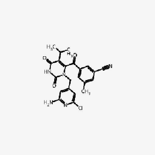 Cc1cc(C#N)cc(C(=O)c2c(C(C)C)c(=O)[nH]c(=O)n2Cc2cc(N)nc(Cl)c2)c1